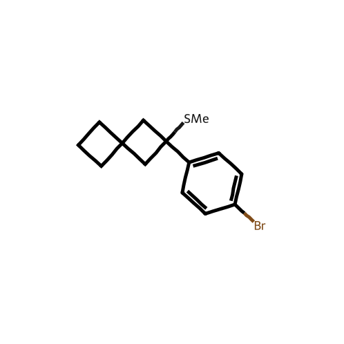 CSC1(c2ccc(Br)cc2)CC2(CCC2)C1